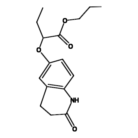 CCCOC(=O)C(CC)Oc1ccc2c(c1)CCC(=O)N2